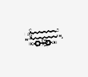 CC(C)(c1ccc(O)cc1)c1ccc(O)cc1.CCCCCCCCCCCCC(=O)O.CCCCCCCCCCCCC(=O)O